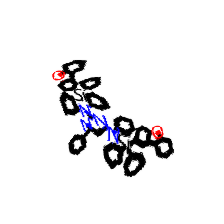 c1ccc(-c2cc(N3c4ccccc4[Si](c4ccccc4)(c4ccc5oc6ccccc6c5c4)c4ccccc43)nc(N3c4ccccc4[Si](c4ccccc4)(c4ccc5oc6ccccc6c5c4)c4ccccc43)n2)cc1